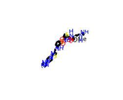 COC(=O)[C@H](CCCNC(C)=N)NC(=O)c1sccc1NS(=O)(=O)c1cccc(NCc2csc(N3CCN(c4ncncn4)CC3)n2)c1